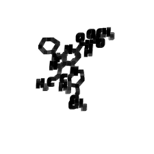 COCC1CCN(c2cc(C(=O)NS(C)(=O)=O)nc3c2c(C(C)C)nn3C2CCCCC2)CC1